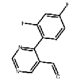 O=Cc1cncnc1-c1ccc(F)cc1F